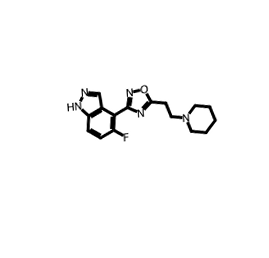 Fc1ccc2[nH]ncc2c1-c1noc(CCN2CCCCC2)n1